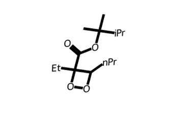 CCCC1OOC1(CC)C(=O)OC(C)(C)C(C)C